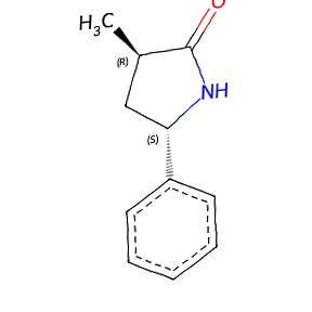 C[C@@H]1C[C@@H](c2ccccc2)NC1=O